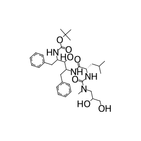 CC(C)C[C@H](NC(=O)N(C)CC(O)CO)C(=O)NC(Cc1ccccc1)C(O)C(Cc1ccccc1)NC(=O)OC(C)(C)C